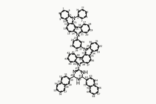 c1ccc(-n2c3ccccc3c3ccc4c(c5ccccc5n4-c4cccc(-n5c6ccccc6c6ccc7c(c8ccccc8n7C7=NC(c8ccc9ccccc9c8)NC(c8ccc9ccccc9c8)N7)c65)c4)c32)cc1